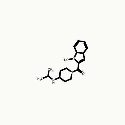 CC(C)NC1CCN(C(=O)C2=CC3C=CC=CC3N2C)CC1